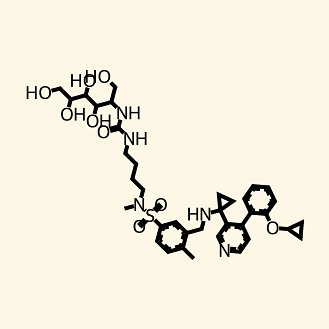 Cc1ccc(S(=O)(=O)N(C)CCCCNC(=O)NC(CO)C(O)C(O)C(O)CO)cc1CNC1(c2cnccc2-c2ccccc2OC2CC2)CC1